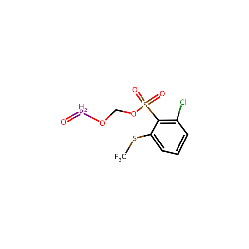 O=[PH2]OCOS(=O)(=O)c1c(Cl)cccc1SC(F)(F)F